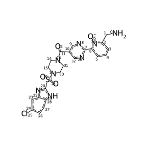 NCc1cccc(-c2ncc(C(=O)N3CCN(S(=O)(=O)c4nc5cc(Cl)ccc5[nH]4)CC3)cn2)[n+]1[O-]